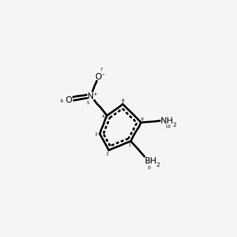 Bc1ccc([N+](=O)[O-])cc1N